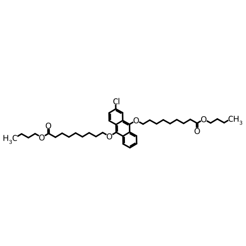 CCCCOC(=O)CCCCCCCCOc1c2ccccc2c(OCCCCCCCCC(=O)OCCCC)c2cc(Cl)ccc12